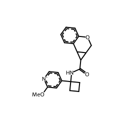 COc1cc(C2(NC(=O)C3C4COc5ccccc5C43)CCC2)ccn1